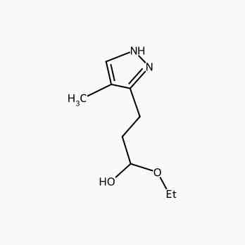 CCOC(O)CCc1n[nH]cc1C